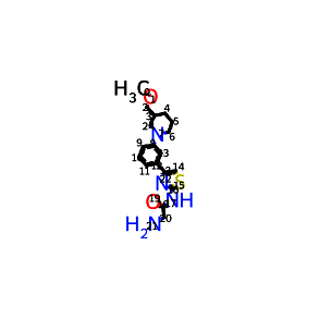 COCC1CCCN(c2cccc(-c3csc(NC(=O)CN)n3)c2)C1